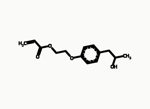 C=CC(=O)OCCOc1ccc(CC(C)O)cc1